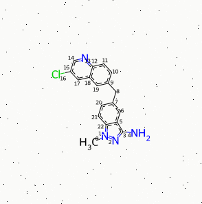 Cn1nc(N)c2cc(Cc3ccc4ncc(Cl)cc4c3)ccc21